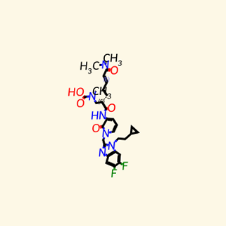 CN(C)C(=O)/C=C/CC[C@@H](CN(C)C(=O)O)C(=O)Nc1cccn(Cc2nc3cc(F)c(F)cc3n2CCC2CC2)c1=O